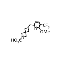 COc1nc(CC2CC3(C2)CN(C(=O)O)C3)ccc1C(F)(F)F